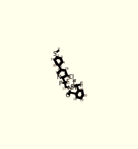 CSc1ccc(-c2cnc(C(F)(F)CNC(=O)c3ccccc3C(F)(F)F)c(Cl)c2)cc1